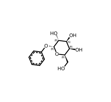 OC[C@H]1O[C@H](Oc2ccccc2)[C@H](O)[C@@H](O)[C@H]1O